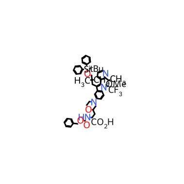 CO[C@@H](C)c1ncccc1-c1c(CC(C)(C)CO[Si](c2ccccc2)(c2ccccc2)C(C)(C)C)c2cc(N3CCOC(CC(NC(=O)OCc4ccccc4)C(=O)O)C3)ccc2n1CC(F)(F)F